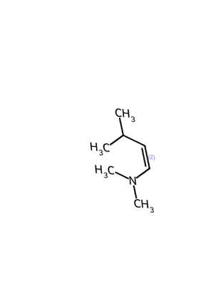 CC(C)/C=C\N(C)C